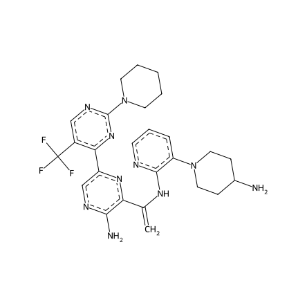 C=C(Nc1ncccc1N1CCC(N)CC1)c1nc(-c2nc(N3CCCCC3)ncc2C(F)(F)F)cnc1N